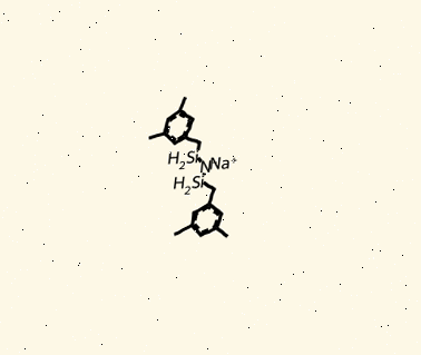 Cc1cc(C)cc(C[SiH2][N-][SiH2]Cc2cc(C)cc(C)c2)c1.[Na+]